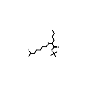 CCCCC(SCCCCCC(C)F)C(=O)OC(C)(C)C